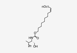 CCCCCCCC/C=C\CCCCCCCCOC(=O)N[C@H](CO)[C@H](C)C(C)C